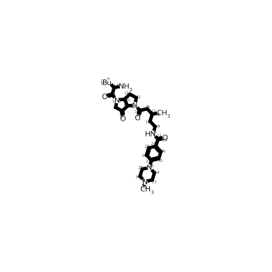 CCC(C)C(N)C(=O)N1CC(=O)C2C1CCN2C(=O)CC(C)CCNC(=O)c1ccc(N2CCN(C)CC2)cc1